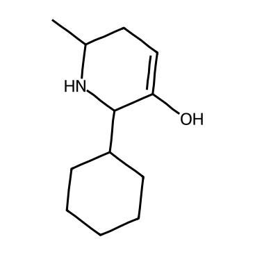 CC1CC=C(O)C(C2CCCCC2)N1